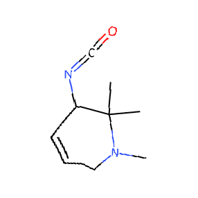 CN1CC=CC(N=C=O)C1(C)C